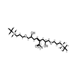 CC(C)(C)[Si](C)(C)CCCOCC(O)C/C=C(/CC(O)COCCC[Si](C)(C)C(C)(C)C)C(N)=O